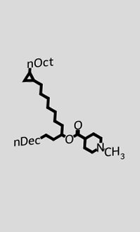 CCCCCCCCCCCCC(CCCCCCCC1CC1CCCCCCCC)OC(=O)C1CCN(C)CC1